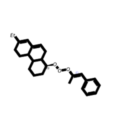 CCC1=CC2=CCC3C(CCC[C@@H]3OOO/C(C)=C/c3ccccc3)C2CC1